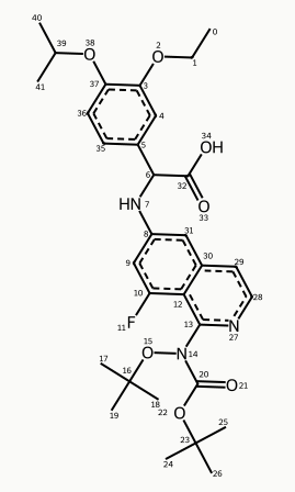 CCOc1cc(C(Nc2cc(F)c3c(N(OC(C)(C)C)C(=O)OC(C)(C)C)nccc3c2)C(=O)O)ccc1OC(C)C